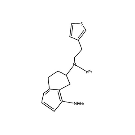 CCCN(CCc1ccsc1)C1CCc2cccc(NC)c2C1